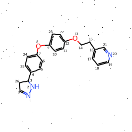 C1=NNC(c2ccc(Oc3ccc(OCCc4cccnc4)cc3)cc2)C1